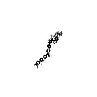 CCN(C)S(=O)(=O)Nc1ccc(F)c(C(=O)c2c[nH]c3ncc(-c4ccc(N5CCN(C(=O)CC6(O)CCN(c7ccc(C8CCC(=O)NC8=O)cc7F)CC6)CC5)cc4)cc23)c1F